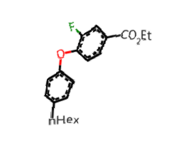 CCCCCCc1ccc(Oc2ccc(C(=O)OCC)cc2F)cc1